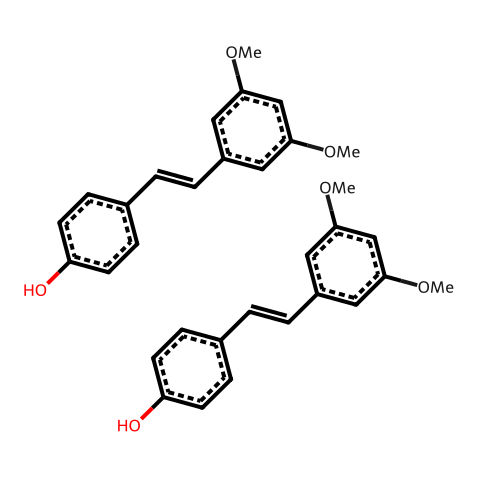 COc1cc(/C=C/c2ccc(O)cc2)cc(OC)c1.COc1cc(/C=C/c2ccc(O)cc2)cc(OC)c1